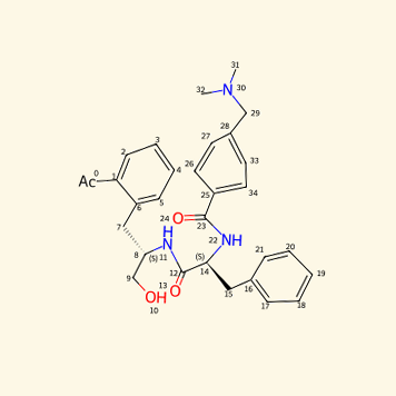 CC(=O)c1ccccc1C[C@@H](CO)NC(=O)[C@H](Cc1ccccc1)NC(=O)c1ccc(CN(C)C)cc1